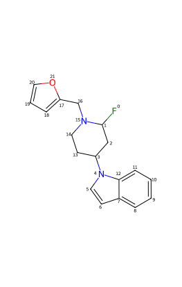 FC1CC(n2ccc3ccccc32)CCN1Cc1ccco1